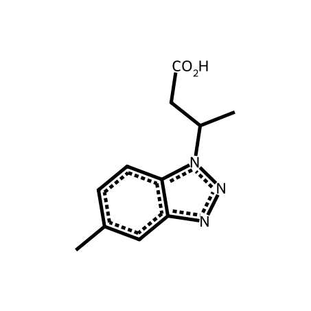 Cc1ccc2c(c1)nnn2C(C)CC(=O)O